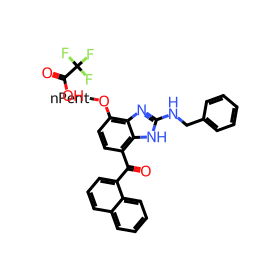 CCCCCOc1ccc(C(=O)c2cccc3ccccc23)c2[nH]c(NCc3ccccc3)nc12.O=C(O)C(F)(F)F